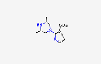 COc1cccnc1N1CC(C)NC(C)C1